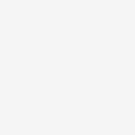 CC(C)c1ccc(-c2nc3cc(C(C)C)ccc3o2)cc1